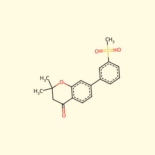 CC1(C)CC(=O)c2ccc(-c3cccc(S(C)(=O)=O)c3)cc2O1